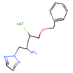 Cl.NC(Cn1nccn1)C(F)COCc1ccccc1